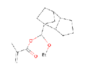 C=C(C)C(=O)OC(OCC)C12CCC(C1)C1CCCC12